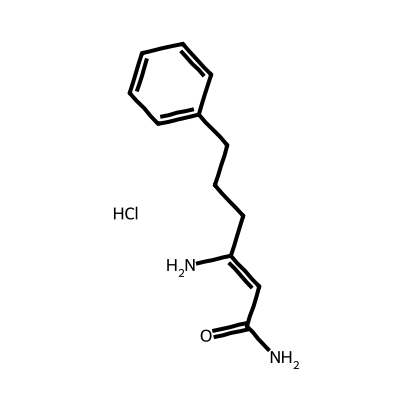 Cl.NC(=O)C=C(N)CCCc1ccccc1